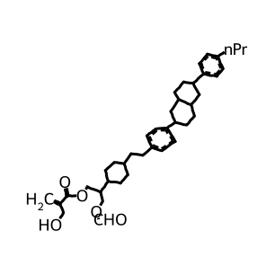 C=C(CO)C(=O)OCC(COC=O)C1CCC(CCc2ccc(C3CCC4CC(c5ccc(CCC)cc5)CCC4C3)cc2)CC1